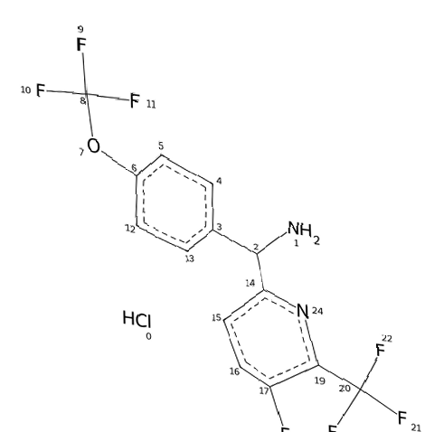 Cl.NC(c1ccc(OC(F)(F)F)cc1)c1ccc(F)c(C(F)(F)F)n1